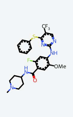 COc1cc(C(=O)NC2CCN(C)CC2)c(F)cc1Nc1ncc(C(F)(F)F)c(Sc2ccccc2)n1